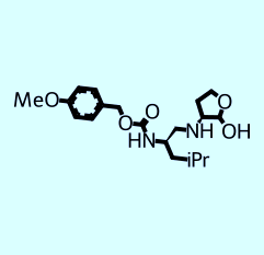 COc1ccc(COC(=O)N[C@@H](CN[C@H]2CCOC2O)CC(C)C)cc1